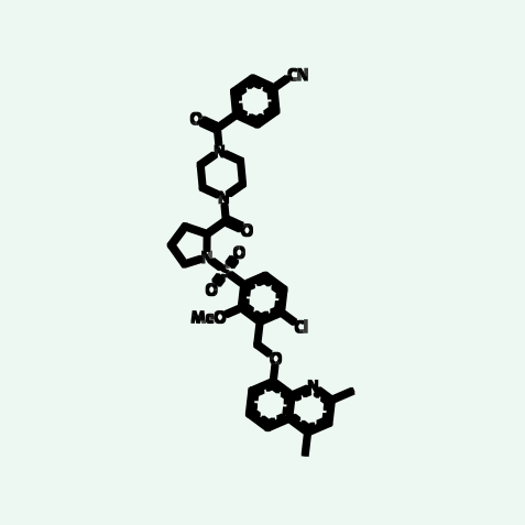 COc1c(S(=O)(=O)N2CCCC2C(=O)N2CCN(C(=O)c3ccc(C#N)cc3)CC2)ccc(Cl)c1COc1cccc2c(C)cc(C)nc12